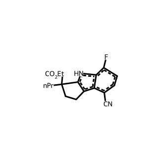 CCCC1(C(=O)OCC)CCc2c1[nH]c1c(F)ccc(C#N)c21